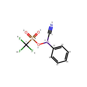 N#C[I+](OS(=O)(=O)C(F)(F)F)c1ccccc1